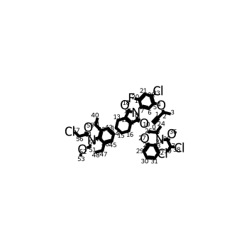 C#CC(C)Oc1cc(N2C(=O)C3=C(CCCC3)C2=O)c(F)cc1Cl.CC1COc2ccccc2N1C(=O)C(Cl)Cl.CCc1cccc(CC)c1N(COC)C(=O)CCl